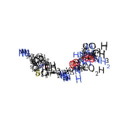 C=C1C2=C(CC[C@H]1C#CCCn1cc(CCC(=O)N[C@@H](CC(=O)O)C(=O)NCC(=O)N[C@@H](CCC(=O)O)C(=O)N[C@@H](C)C(N)=O)nn1)SC1=C(C=C(C#CCCN=[N+]=[N-])CC1)/C2=C1\c2c(ccc3ccccc23)CC1C